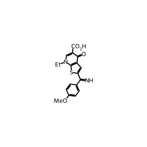 CCn1cc(C(=O)O)c(=O)c2cc(C(=N)c3ccc(OC)cc3)sc21